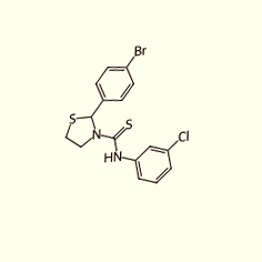 S=C(Nc1cccc(Cl)c1)N1CCSC1c1ccc(Br)cc1